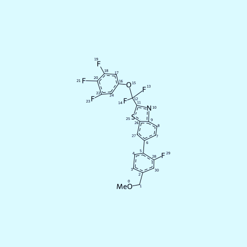 COCc1ccc(-c2ccc3nc(C(F)(F)Oc4cc(F)c(F)c(F)c4)sc3c2)c(F)c1